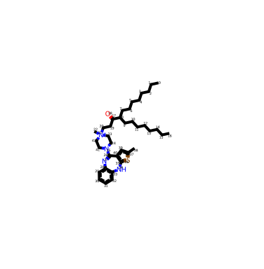 CCCCCCCCC(CCCCCCCC)C(=O)CC[N+]1(C)CCN(C2=Nc3ccccc3Nc3sc(C)cc32)CC1